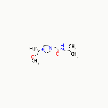 COCC(C)N1CCN(CC(=O)NCC(C)C)CC1